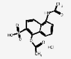 CC(=O)Nc1cccc2c(OC(C)=O)c(S(=O)(=O)O)ccc12.Cl